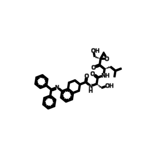 CC(C)C[C@H](NC(=O)[C@H](CO)NC(=O)C1CCc2c(cccc2N=C(c2ccccc2)c2ccccc2)C1)C(=O)[C@@]1(CO)CO1